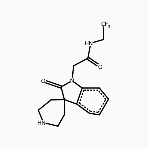 O=C(CN1C(=O)C2(CCNCC2)c2ccccc21)NCC(F)(F)F